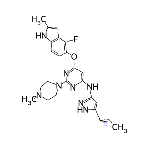 C/C=C/c1cc(Nc2cc(Oc3ccc4[nH]c(C)cc4c3F)nc(N3CCN(C)CC3)n2)n[nH]1